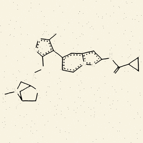 Cc1onc(OC[C@@]23C[C@@H](CO2)N(C)C3)c1-c1ccn2nc(NC(=O)C3CC3)cc2c1